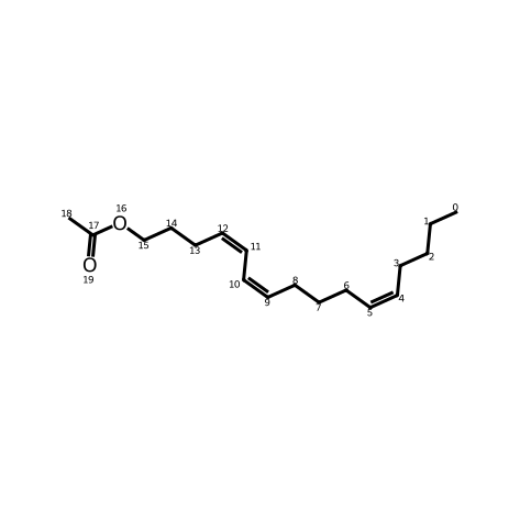 CCCC/C=C\CCC/C=C\C=C/CCCOC(C)=O